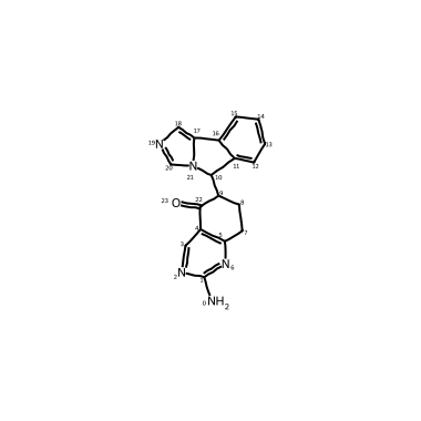 Nc1ncc2c(n1)CCC(C1c3ccccc3-c3cncn31)C2=O